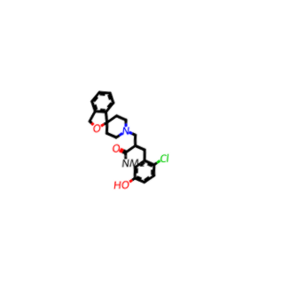 CNC(=O)C(Cc1cc(O)ccc1Cl)CN1CCC2(CC1)OCc1ccccc12